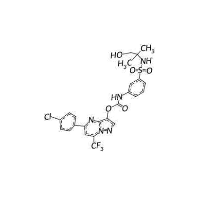 CC(C)(CO)NS(=O)(=O)c1cccc(NC(=O)Oc2cnn3c(C(F)(F)F)cc(-c4ccc(Cl)cc4)nc23)c1